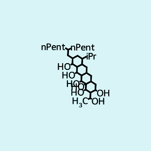 CCCCCC(CCCCC)CC1CC(C(C)C)C2CC3CC4CC(O)C(C(C)O)C(O)C4(O)C(O)C3C(O)C2C1O